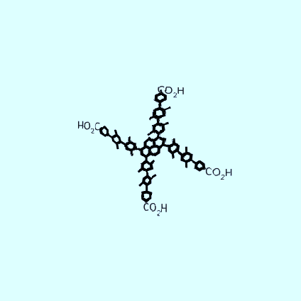 Cc1cc(-c2cc(C)c(-c3cc(-c4cc(C)c(-c5cc(C)c(-c6ccc(C(=O)O)cc6)cc5C)cc4C)c4ccc5c(-c6cc(C)c(-c7cc(C)c(-c8ccc(C(=O)O)cc8)cc7C)cc6C)cc(-c6cc(C)c(-c7cc(C)c(-c8ccc(C(=O)O)cc8)cc7C)cc6C)c6ccc3c4c65)cc2C)c(C)cc1-c1ccc(C(=O)O)cc1